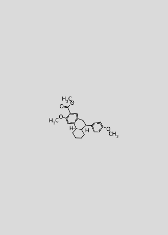 COC(=O)c1cc2c(cc1OC)[C@@H]1CCCC[C@@H]1[C@H](c1ccc(OC)cc1)C2